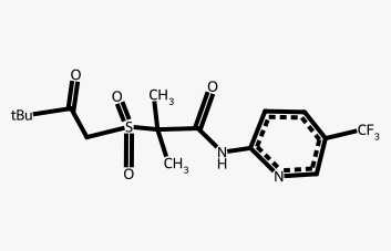 CC(C)(C)C(=O)CS(=O)(=O)C(C)(C)C(=O)Nc1ccc(C(F)(F)F)cn1